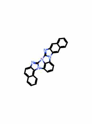 c1ccc2cc3c(cc2c1)nc1n3c2cccc3c2n1c1nc2ccc4ccccc4c2n31